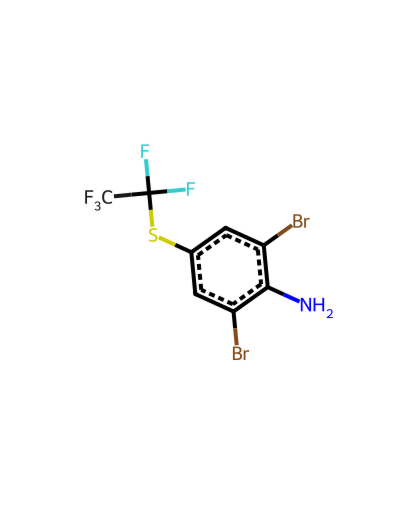 Nc1c(Br)cc(SC(F)(F)C(F)(F)F)cc1Br